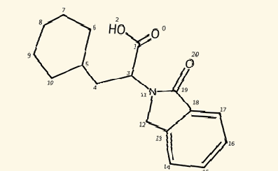 O=C(O)C(CC1CCCCC1)N1Cc2ccccc2C1=O